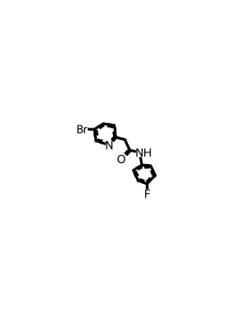 O=C(Cc1ccc(Br)cn1)Nc1ccc(F)cc1